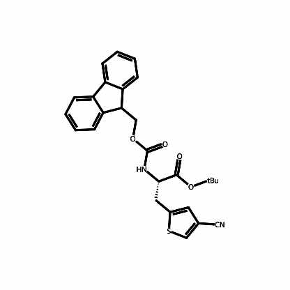 CC(C)(C)OC(=O)[C@H](Cc1cc(C#N)cs1)NC(=O)OCC1c2ccccc2-c2ccccc21